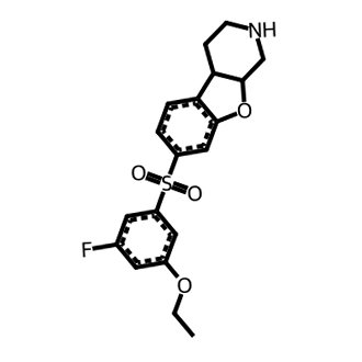 CCOc1cc(F)cc(S(=O)(=O)c2ccc3c(c2)OC2CNCCC32)c1